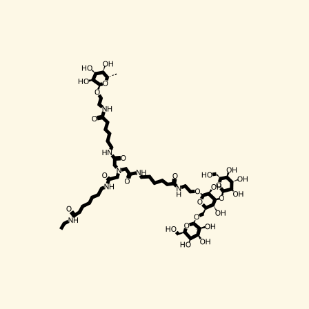 CCNC(=O)CCCCCCNC(=O)CN(CC(=O)NCCCCCC(=O)NCCO[C@@H]1O[C@@H](C)[C@@H](O)[C@@H](O)[C@@H]1O)CC(=O)NCCCCCC(=O)NCCO[C@H]1O[C@H](CO[C@H]2O[C@H](CO)[C@@H](O)[C@H](O)[C@@H]2O)[C@@H](O)[C@H](O[C@H]2O[C@H](CO)[C@@H](O)[C@H](O)[C@@H]2O)[C@@H]1O